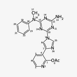 CC(=O)Oc1ncccc1-c1cn(-c2nc(N)nc(N(C)c3ccccc3)n2)cn1